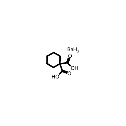 O=C(O)C1(C(=O)O)CCCCC1.[BaH2]